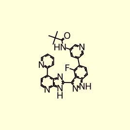 CC(C)(C)C(=O)Nc1cncc(-c2ccc3[nH]nc(-c4nc5c(-c6ccccn6)ccnc5[nH]4)c3c2F)c1